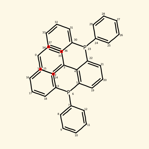 c1ccc(-c2c(P(c3ccccc3)c3ccccc3)cccc2P(c2ccccc2)c2ccccc2)cc1